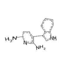 Nc1ccc(-c2c[nH]c3ccccc23)c(N)n1